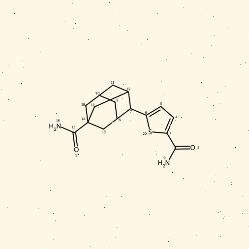 NC(=O)c1ccc(C2C3CC4CC2CC(C(N)=O)(C4)C3)s1